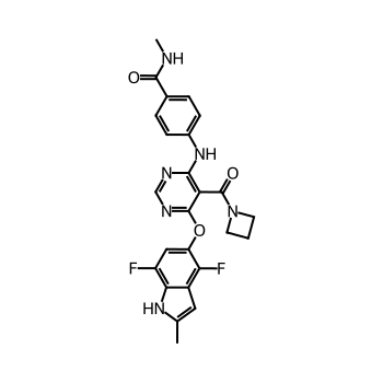 CNC(=O)c1ccc(Nc2ncnc(Oc3cc(F)c4[nH]c(C)cc4c3F)c2C(=O)N2CCC2)cc1